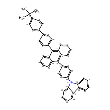 CC(C)(C)c1ccc(-c2ccc(-c3c4ccccc4c(-c4ccc(-n5c6ccccc6c6ccccc65)cc4)c4ccccc34)cc2)cc1